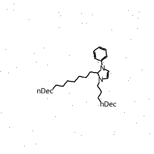 CCCCCCCCCCCCCCCCCC1N(CCCCCCCCCCCCC)C=CN1c1ccccc1